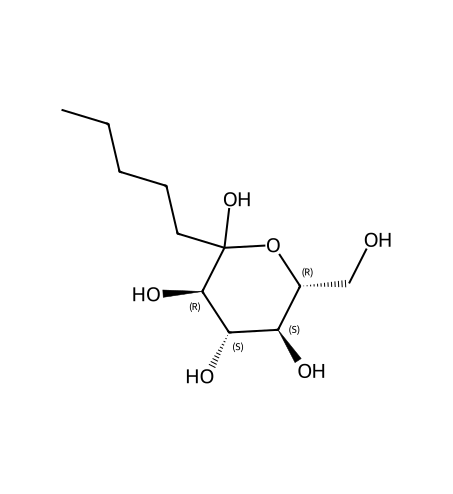 CCCCCC1(O)O[C@H](CO)[C@@H](O)[C@H](O)[C@H]1O